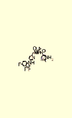 C=C(C)/N=C\C(=C/N)C(=O)NC1(C(=O)NCc2ccc(Nc3ccc(F)cc3C(F)(F)F)cn2)CC1